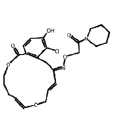 O=C1OCCC/C=C/CC/C=C/C(=N/OCC(=O)N2CCCCC2)Cc2c1ccc(O)c2Cl